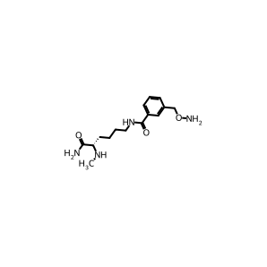 CN[C@@H](CCCCNC(=O)c1cccc(CON)c1)C(N)=O